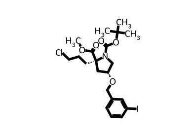 COC(=O)[C@]1(CCCCl)C[C@@H](OCc2cccc(I)c2)CN1C(=O)OC(C)(C)C